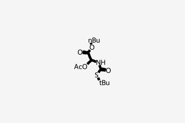 CCCCOC(=O)C(NC(=O)SC(C)(C)C)OC(C)=O